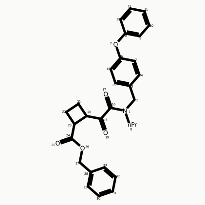 CCCN(Cc1ccc(Oc2ccccc2)cc1)C(=O)C(=O)C1CCC1C(=O)OCc1ccccc1